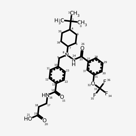 CC(C)(C)C1CCC(N(Cc2ccc(C(=O)NCCC(=O)O)cc2)NC(=O)c2cccc(OC(F)(F)F)c2)CC1